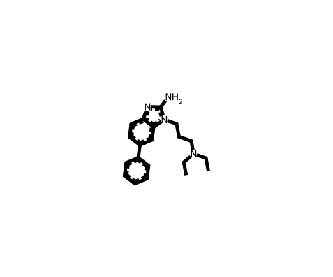 CCN(CC)CCCn1c(N)nc2ccc(-c3ccccc3)cc21